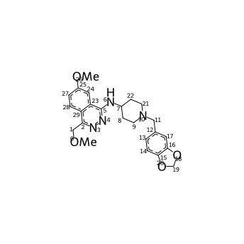 COCc1nnc(NC2CCN(Cc3ccc4c(c3)OCO4)CC2)c2cc(OC)ccc12